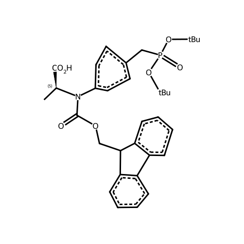 C[C@@H](C(=O)O)N(C(=O)OCC1c2ccccc2-c2ccccc21)c1ccc(CP(=O)(OC(C)(C)C)OC(C)(C)C)cc1